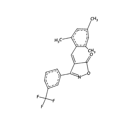 Cc1cc(C)c(C=C2C(=O)ON=C2c2cccc(C(F)(F)F)c2)c(C)c1